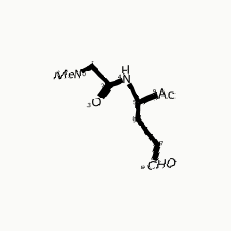 CNCC(=O)NC(CCC=O)C(C)=O